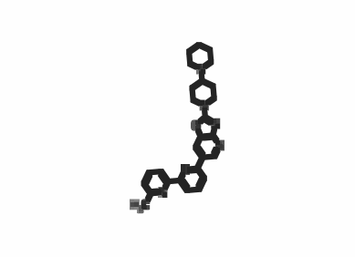 Cc1cccc(-c2cccc(-c3cnc4nc(N5CCC(N6CCCCC6)CC5)oc4c3)n2)n1